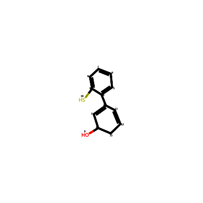 OC1C=C(c2ccccc2S)C=CC1